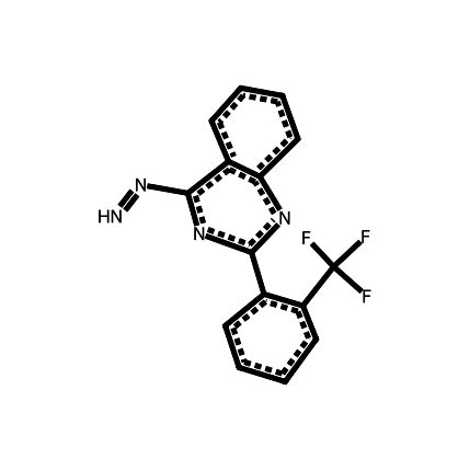 N=Nc1nc(-c2ccccc2C(F)(F)F)nc2ccccc12